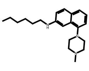 CCCCCCNc1ccc2cccc(N3CCN(C)CC3)c2c1